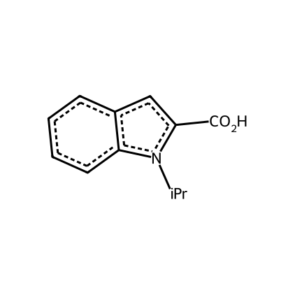 CC(C)n1c(C(=O)O)cc2ccccc21